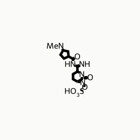 CNC1CCC(C(=O)NC(=N)C2CCC3CN2C(=O)N3OS(=O)(=O)O)C1